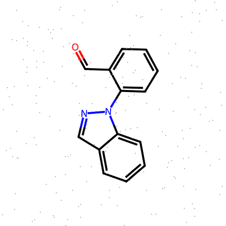 O=Cc1ccccc1-n1ncc2ccccc21